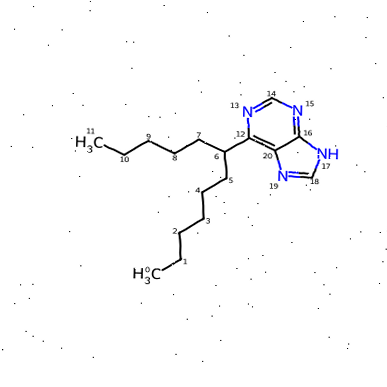 CCCCCCC(CCCCC)c1ncnc2[nH]cnc12